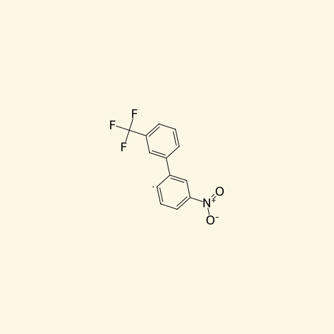 O=[N+]([O-])c1cc[c]c(-c2cccc(C(F)(F)F)c2)c1